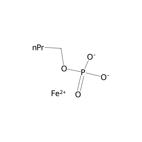 CCCCOP(=O)([O-])[O-].[Fe+2]